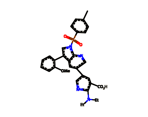 CCN(CC)c1ncc(-c2cnc3c(c2)c(-c2ccccc2OC)cn3S(=O)(=O)c2ccc(C)cc2)cc1C(=O)O